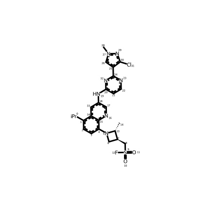 CC(C)c1ccc(N2C[C@H](CS(=O)(=O)F)[C@H]2C)c2ncc(Nc3ccnc(-c4cn(C)nc4Cl)n3)cc12